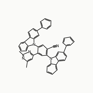 Cc1cc(-c2cc(-n3c4ccccc4c4ccc(-c5ccccc5)cc43)c(C#N)cc2-n2c3ccccc3c3ccc(-c4ccccc4)cc32)nc(C)n1